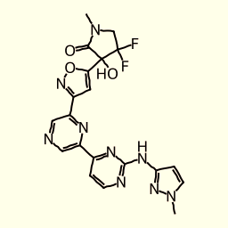 CN1CC(F)(F)C(O)(c2cc(-c3cncc(-c4ccnc(Nc5ccn(C)n5)n4)n3)no2)C1=O